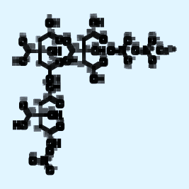 O=C(O)CC(O)(CC(=O)O)C(=O)O.O=C(O)CC(O)(CC(=O)O)C(=O)O.O=C(O)CC(O)(CC(=O)O)C(=O)O.O=[N+]([O-])[O-].O=[N+]([O-])[O-].O=[N+]([O-])[O-].[Ga+3]